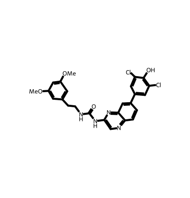 COc1cc(CCNC(=O)Nc2cnc3ccc(-c4cc(Cl)c(O)c(Cl)c4)cc3n2)cc(OC)c1